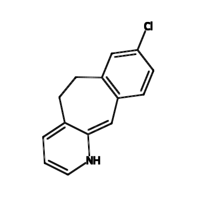 Clc1ccc2c(c1)CCC1=CC=CNC1=C2